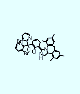 Cc1cc(C)c(C2CNC(=C3CC=CC(C(Cl)(c4ncccc4Br)c4ncccc4Br)=C3Cl)N2c2c(C)cc(C)cc2C)c(C)c1